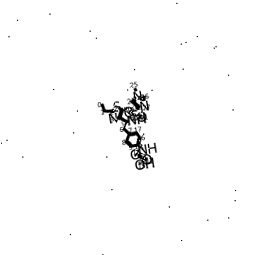 CCc1nc([C@H](Cc2ccc(NS(=O)(=O)O)cc2)NS(=O)(=O)c2cn(C)cn2)cs1